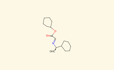 O=[C][C@@H](N=CC(=O)OC1CCCCC1)C1CCCCC1